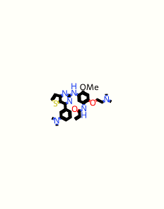 C=CC(=O)Nc1cc(NC2=NC(c3cccc(N(C)C)c3)C3SC=CC3=N2)c(OC)cc1OCCN(C)C